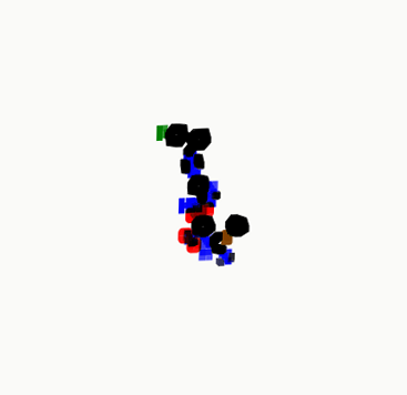 CN(C)CC[C@H](CSc1ccccc1)Nc1ccc(S(=O)(=O)Nc2ncnc3cc(N4CCN(Cc5ccccc5-c5ccc(F)cc5)CC4)ccc23)cc1[N+](=O)[O-]